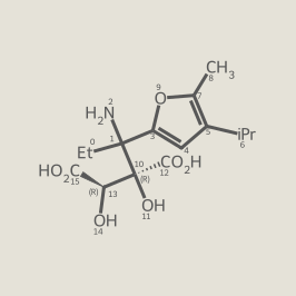 CCC(N)(c1cc(C(C)C)c(C)o1)[C@](O)(C(=O)O)[C@@H](O)C(=O)O